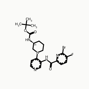 CC(C)(C)OC(=O)N[C@H]1CCCN(c2ccncc2NC(=O)c2ccc(F)c(Br)n2)C1